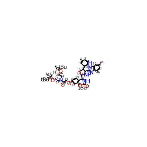 CC(c1ccccc1)C(NC(=O)C(NC(=O)OC(C)(C)C)c1ccc(OCC(=O)N(CCO[Si](C)(C)C(C)(C)C)CCO[Si](C)(C)C(C)(C)C)cc1)c1nc2ccc(I)cc2[nH]1